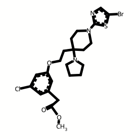 COC(=O)Cc1cc(Cl)cc(OCCC2(N3CCCC3)CCN(c3ncc(Br)s3)CC2)c1